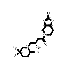 N[C@@H](CC(=O)N1CCc2sc(C(F)(F)F)nc2C1)CN1CC(F)(F)CCC1=O